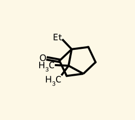 CCC12CCC(CC1=O)C2(C)C